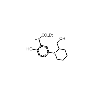 CCOC(=O)Nc1cc(N2CCCCC2CO)ccc1O